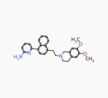 COc1cc2c(cc1OC)CN(CCc1ccc(-c3cccc(N)n3)c3ccccc13)CC2